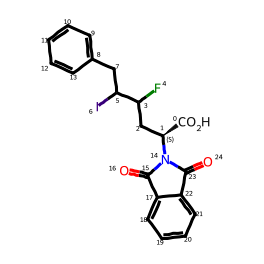 O=C(O)[C@H](CC(F)C(I)Cc1ccccc1)N1C(=O)c2ccccc2C1=O